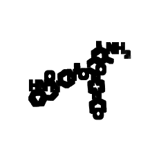 C=C(O[C@H](Cc1cc(C)c(N)c(C)c1)C(=O)N1CCN(C2CCOCC2)CC1)N1CCC(N2CCc3ccccc3NC2=O)CC1